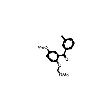 COCOc1ccc(OC)cc1C(=O)c1cccc(C)c1